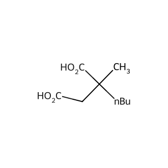 CCCCC(C)(CC(=O)O)C(=O)O